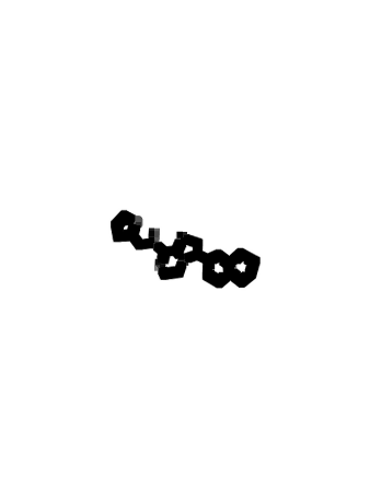 C1=CN2C(=NCC2c2ccc3ccccc3c2)C(NCc2ccco2)=N1